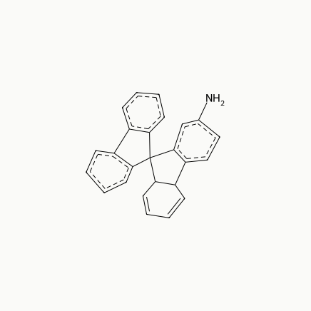 Nc1ccc2c(c1)C1(c3ccccc3-c3ccccc31)C1C=CC=CC21